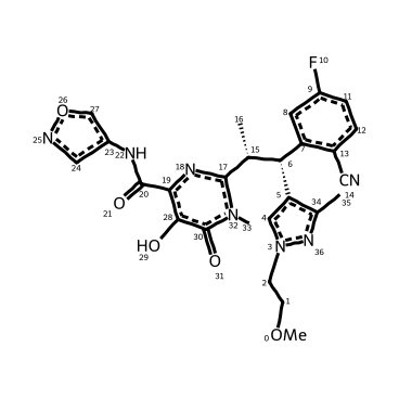 COCCn1cc([C@@H](c2cc(F)ccc2C#N)[C@@H](C)c2nc(C(=O)Nc3cnoc3)c(O)c(=O)n2C)c(C)n1